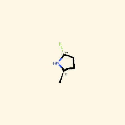 C[C@@H]1CC[C@@H](F)N1